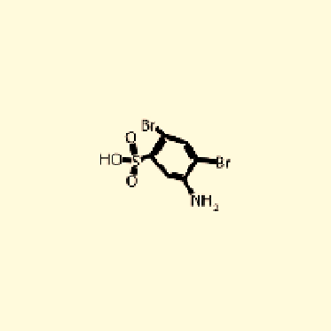 Nc1cc(S(=O)(=O)O)c(Br)cc1Br